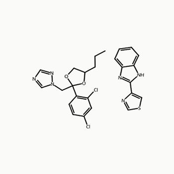 CCCC1COC(Cn2cncn2)(c2ccc(Cl)cc2Cl)O1.c1ccc2[nH]c(-c3cscn3)nc2c1